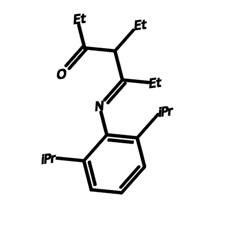 CCC(=O)C(CC)C(CC)=Nc1c(C(C)C)cccc1C(C)C